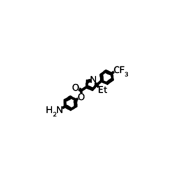 CCC1(c2ccc(C(F)(F)F)cc2)C=C(C(=O)Oc2ccc(N)cc2)C=N1